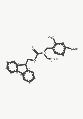 COc1ccc(CN(CC(=O)O)C(=O)OCC2c3ccccc3-c3ccccc32)c(OC)c1